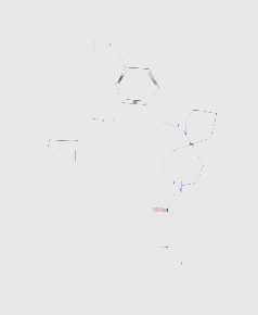 O=C(O)CCCOc1cc(C(F)(F)F)ccc1CN1CCCC12CCN(C(=O)OC(C(F)(F)F)C(F)(F)F)CC2